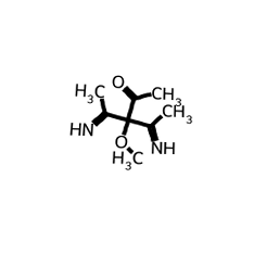 COC(C(C)=N)(C(C)=N)C(C)=O